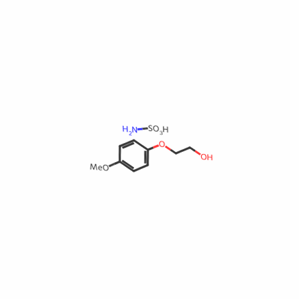 COc1ccc(OCCO)cc1.NS(=O)(=O)O